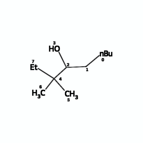 CCCCCC(O)C(C)(C)CC